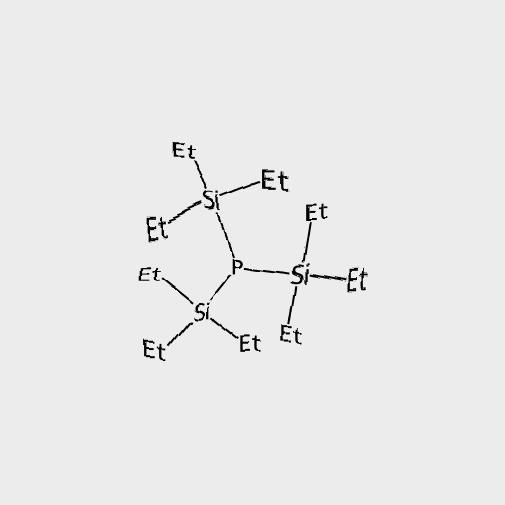 CC[Si](CC)(CC)P([Si](CC)(CC)CC)[Si](CC)(CC)CC